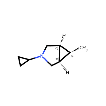 C[C@@H]1[C@H]2CN(C3CC3)C[C@@H]12